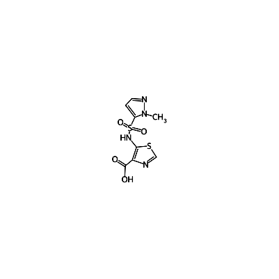 Cn1nccc1S(=O)(=O)Nc1scnc1C(=O)O